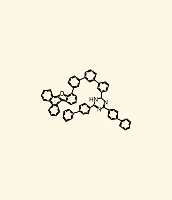 c1ccc(-c2ccc(C3=NC(c4cccc(-c5cccc(-c6cccc(-c7cccc8c7oc7c9ccccc9c9ccccc9c87)c6)c5)c4)NC(c4ccc(-c5ccccc5)cc4)=N3)cc2)cc1